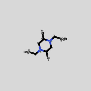 CCOC(=O)CN1CC(CC)N(CC(=O)O)CC1CC